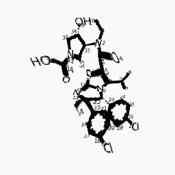 CCN(C(=O)C1=C(C(C)C)N2C(=N[C@@](C)(c3ccc(Cl)cc3)[C@H]2c2ccc(Cl)cc2)S1)[C@H]1CN(C(=O)O)C[C@@H]1O